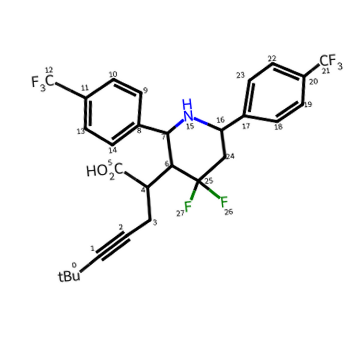 CC(C)(C)C#CCC(C(=O)O)C1C(c2ccc(C(F)(F)F)cc2)NC(c2ccc(C(F)(F)F)cc2)CC1(F)F